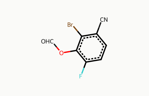 N#Cc1ccc(F)c(OC=O)c1Br